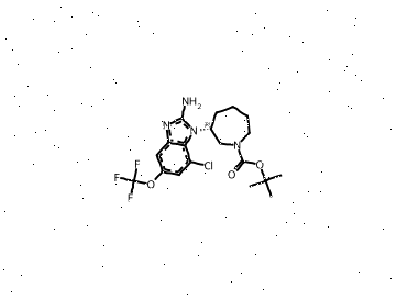 CC(C)(C)OC(=O)N1CCCC[C@@H](n2c(N)nc3cc(OC(F)(F)F)cc(Cl)c32)C1